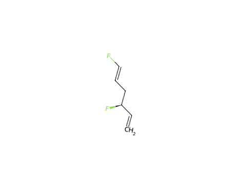 C=C[C@@H](F)C/C=C/F